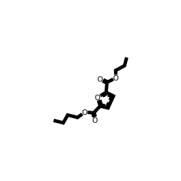 CCCCOC(=O)c1ccc(C(=O)OCCC)o1